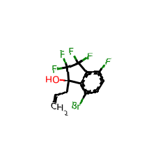 C=CC[C@@]1(O)c2c(Br)ccc(F)c2C(F)(F)C1(F)F